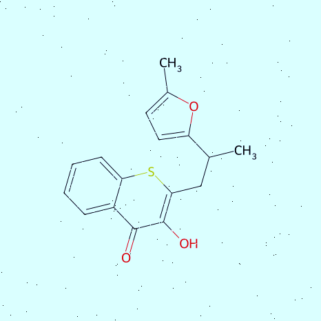 Cc1ccc(C(C)Cc2sc3ccccc3c(=O)c2O)o1